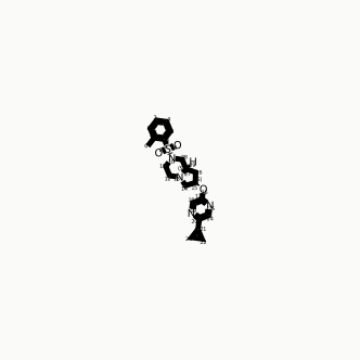 Cc1ccccc1S(=O)(=O)N1CCN2C[C@@H](Oc3cnc(C4CC4)cn3)C[C@H]2C1